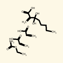 C=C(C(=O)O)C(O)(O)CCCCC.C=CC(=O)O.C=CC(=O)O.CCOC(N)=O